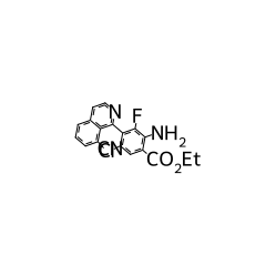 CCOC(=O)c1cc(Cl)c(-c2nccc3cccc(C#N)c23)c(F)c1N